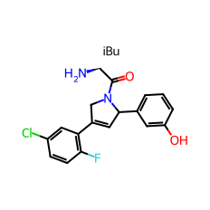 CC[C@H](C)[C@H](N)C(=O)N1CC(c2cc(Cl)ccc2F)=CC1c1cccc(O)c1